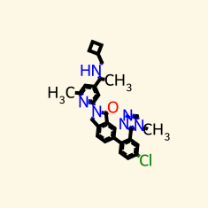 Cc1cc(C(C)NCC2CCC2)cc(N2Cc3ccc(-c4ccc(Cl)cc4-c4nncn4C)cc3C2=O)n1